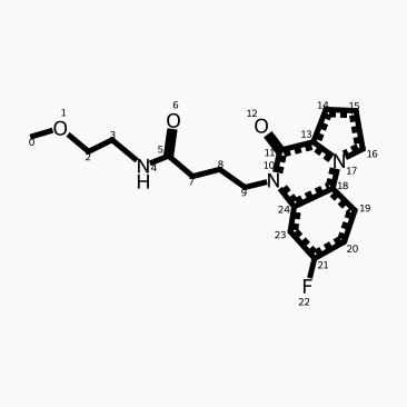 COCCNC(=O)CCCn1c(=O)c2cccn2c2ccc(F)cc21